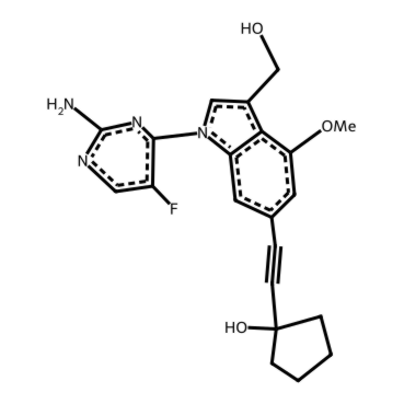 COc1cc(C#CC2(O)CCCC2)cc2c1c(CO)cn2-c1nc(N)ncc1F